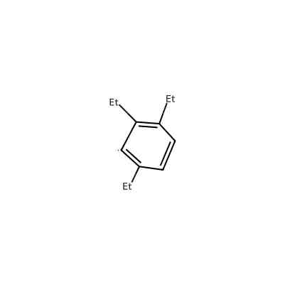 CCc1[c]c(CC)c(CC)cc1